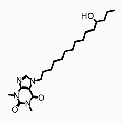 CCCC(O)CCCCCCCCCCCn1cnc2c1c(=O)n(C)c(=O)n2C